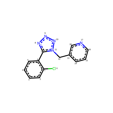 Clc1ccccc1-c1nnnn1Cc1cccnc1